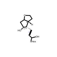 CCCCCCC(O)/C=C/[C@@H]1[C@@H](O)CC2OCC[C@@H]21